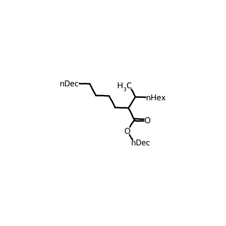 CCCCCCCCCCCCCCC(C(=O)OCCCCCCCCCC)C(C)CCCCCC